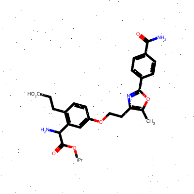 Cc1oc(-c2ccc(C(N)=O)cc2)nc1CCOc1ccc(CCC(=O)O)c(C(N)C(=O)OC(C)C)c1